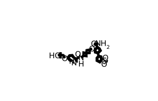 CC(C)(O)COc1ccc2c(C(=O)NC3CC4(C3)CC(Oc3cc(-c5cccc(S(C)(=O)=O)c5)ccc3C(N)=O)C4)cnn2c1